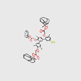 Cc1cc(-c2cc(-c3cc(S)cc(C)c3OCC(=O)OC3(C)C4CC5CC(C4)CC3C5)cc(C)c2OCC(=O)OC2(C)C3CC4CC(C3)CC2C4)cc(C)c1OCC(=O)OC1(C)C2CC3CC(C2)CC1C3